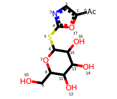 CC(=O)c1cnc(SC2OC(CO)C(O)C(O)C2O)o1